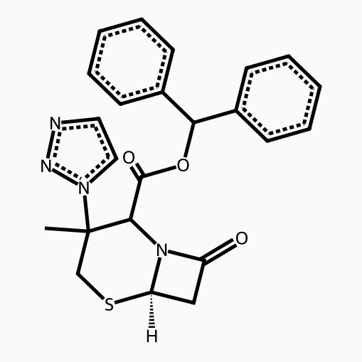 CC1(n2ccnn2)CS[C@@H]2CC(=O)N2C1C(=O)OC(c1ccccc1)c1ccccc1